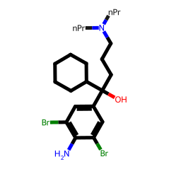 CCCN(CCC)CCCC(O)(c1cc(Br)c(N)c(Br)c1)C1CCCCC1